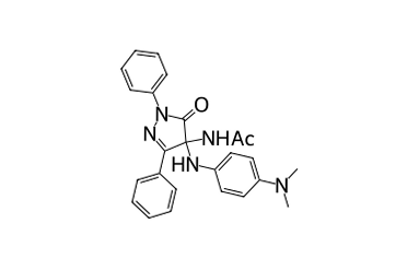 CC(=O)NC1(Nc2ccc(N(C)C)cc2)C(=O)N(c2ccccc2)N=C1c1ccccc1